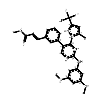 COC(=O)/C=C/c1cccc(-c2cnc(Nc3cc(OC)cc(OC)c3)nc2-n2nc(C(F)(F)F)cc2C)c1